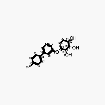 O[C@@H]1[C@@H](O)[C@H](Oc2cncc(-c3ccc(F)cc3)c2)SC[C@H]1O